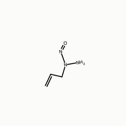 C=CCN(N)N=O